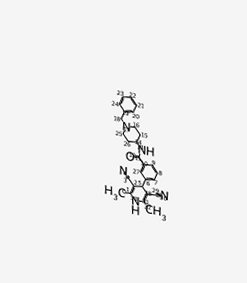 CC1=C(C#N)C(c2cccc(C(=O)NC3CCN(Cc4ccccc4)CC3)c2)C(C#N)=C(C)N1